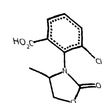 CC1COC(=O)N1c1c(Cl)cccc1C(=O)O